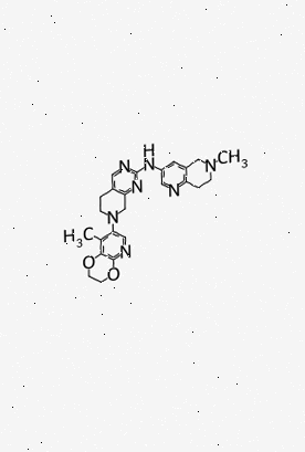 Cc1c(N2CCc3cnc(Nc4cnc5c(c4)CN(C)CC5)nc3C2)cnc2c1OCCO2